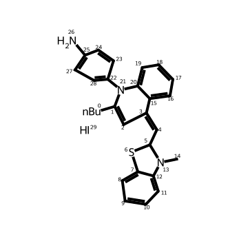 CCCCC1=CC(=CC2Sc3ccccc3N2C)c2ccccc2N1c1ccc(N)cc1.I